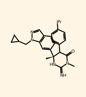 CC(C)c1ccc(C2C(=O)N(C)C(=N)N[C@]2(C)c2ccc3cnn(CC4CC4)c3c2)cc1